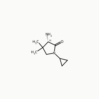 CC1(C)CN(C2CC2)C(=O)[C@H]1N